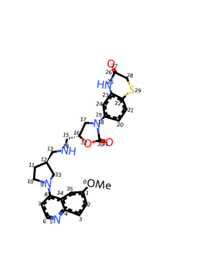 COc1ccc2nccc(N3CC[C@@H](CNC[C@@H]4CN(c5ccc6c(c5)NC(=O)CS6)C(=O)O4)C3)c2c1